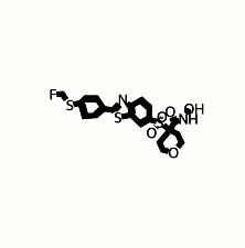 O=C(NO)C1(S(=O)(=O)c2ccc3nc(-c4ccc(SCF)cc4)sc3c2)CCOCC1